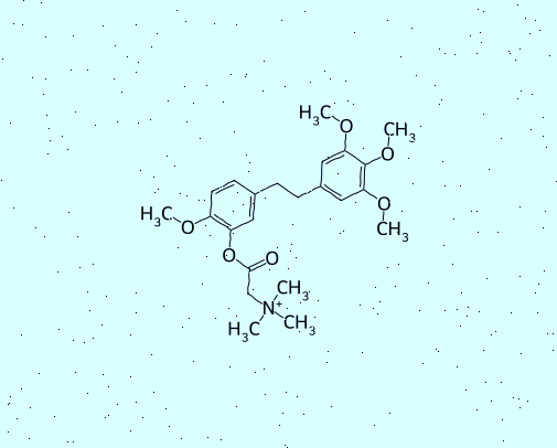 COc1ccc(CCc2cc(OC)c(OC)c(OC)c2)cc1OC(=O)C[N+](C)(C)C